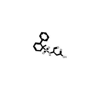 CC1(S(=O)(=O)NC(C=O)CC(=O)O)CC=CC=C1c1ccccc1